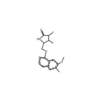 COc1cc2c(OCC3NC(=O)C(F)C3C)nccc2cc1C